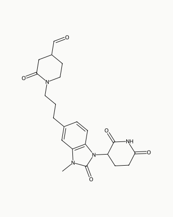 Cn1c(=O)n(C2CCC(=O)NC2=O)c2ccc(CCCN3CCC(C=O)CC3=O)cc21